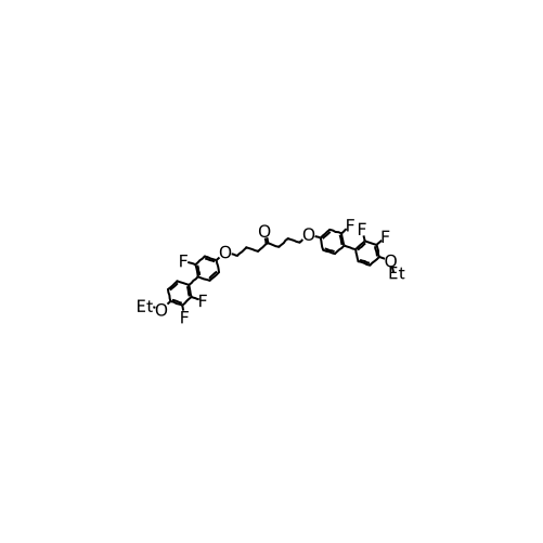 CCOc1ccc(-c2ccc(OCCCC(=O)CCCOc3ccc(-c4ccc(OCC)c(F)c4F)c(F)c3)cc2F)c(F)c1F